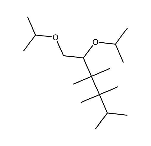 CC(C)OCC(OC(C)C)C(C)(C)C(C)(C)C(C)C